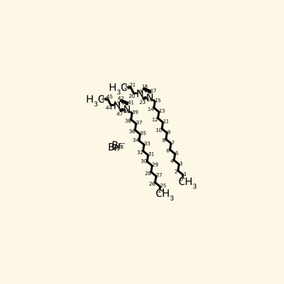 CCCCCCCCCCCCCCCCn1cc[n+](CCC)c1.CCCCCCCCCCCCCCCCn1cc[n+](CCC)c1.[Br-].[Br-]